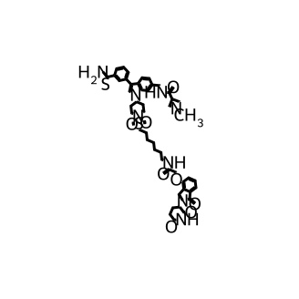 CN1CC(C(=O)NCc2ccc3c(-c4cccc(C(N)=S)c4)cn(C4CCN(S(=O)(=O)CCCCCCCNC(=O)COc5cccc6c5CN(C5CCC(=O)NC5=O)C6=O)CC4)c3c2)C1